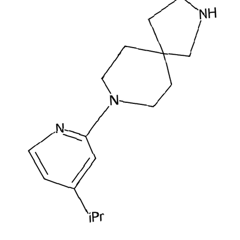 CC(C)c1ccnc(N2CCC3(CCNC3)CC2)c1